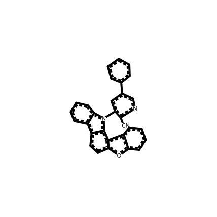 N#Cc1ncc(-c2ccccc2)cc1-n1c2ccccc2c2ccc3oc4ccccc4c3c21